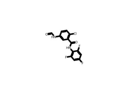 O=CNc1ccc(Cl)c(C(=O)Nc2c(F)cc(F)cc2F)c1